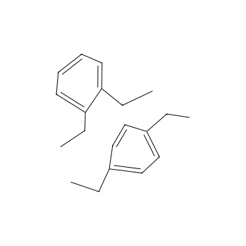 CCc1ccc(CC)cc1.CCc1ccccc1CC